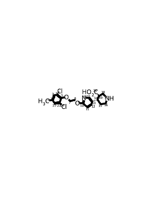 Cc1cc(Cl)c(OCCOc2ccc([C@H]3CCNC[C@@H]3C(=O)O)cn2)c(Cl)c1